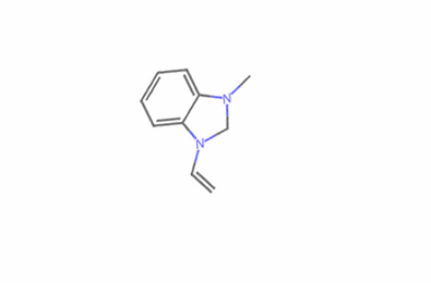 C=CN1CN(C)c2ccccc21